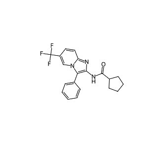 O=C(Nc1nc2ccc(C(F)(F)F)cn2c1-c1ccccc1)C1CCCC1